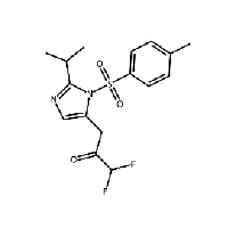 Cc1ccc(S(=O)(=O)n2c(CC(=O)C(F)F)cnc2C(C)C)cc1